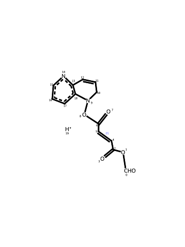 O=COC(=O)/C=C/C(=O)ON1CC=Cc2ncccc21.[H+]